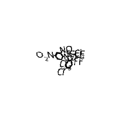 O=[N+]([O-])c1cc([N+](=O)[O-])c(N(SC(Cl)(Cl)Cl)c2cc(Cl)ccc2OC(F)(F)C(F)F)c(C(F)(F)F)c1